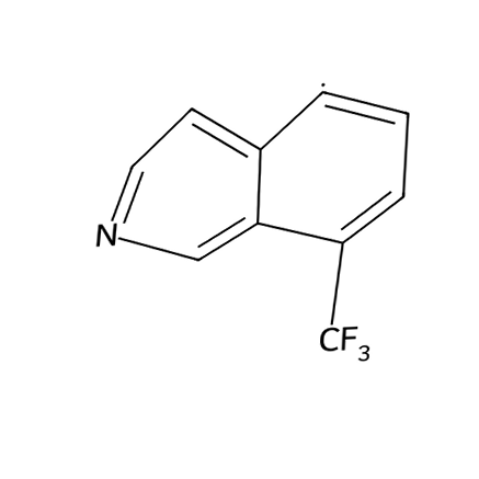 FC(F)(F)c1cc[c]c2ccncc12